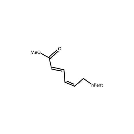 CCCCCC/C=C\C=C\C(=O)OC